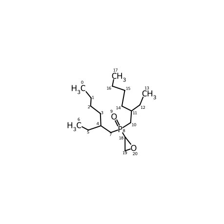 CCCCC(CC)CP(=O)(CC(CC)CCCC)C1CO1